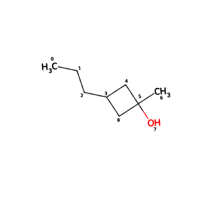 CCCC1CC(C)(O)C1